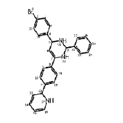 Brc1ccc(C2C=C(c3ccc(C4C=CC=CN4)cc3)NC(c3ccccc3)N2)cc1